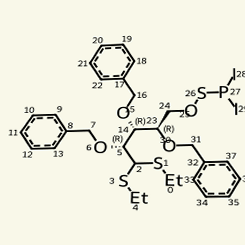 CCSC(SCC)[C@H](OCc1ccccc1)[C@H](OCc1ccccc1)[C@@H](COSP(I)I)OCc1ccccc1